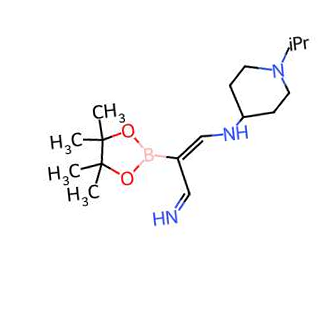 CC(C)N1CCC(N/C=C(\C=N)B2OC(C)(C)C(C)(C)O2)CC1